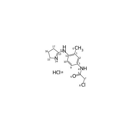 Cc1cc(NC(=O)CCl)ccc1NC1=NCCC1.Cl